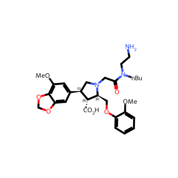 CCCCN(CCN)C(=O)CN1C[C@H](c2cc(OC)c3c(c2)OCO3)[C@@H](C(=O)O)[C@@H]1COc1ccccc1OC